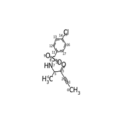 CC#CC(=O)C(C)NS(=O)(=O)c1ccc(Cl)cc1